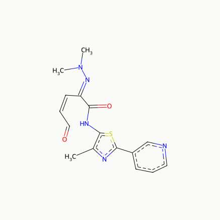 Cc1nc(-c2cccnc2)sc1NC(=O)C(/C=C\C=O)=N/N(C)C